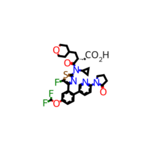 O=C(O)C[C@@H](CC1CCOCC1)C(=O)N(c1nc(-c2cc(OC(F)F)ccc2-c2ccc(N3CCCC3=O)nc2)c(F)s1)C1CC1